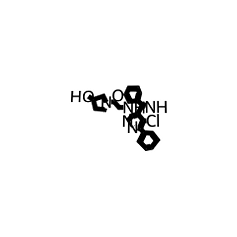 N=C(c1ccccc1)c1c(NCC(=O)N2CCC(O)C2)nnc(-c2ccccc2)c1Cl